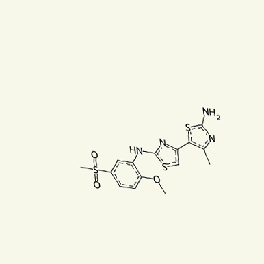 COc1ccc(S(C)(=O)=O)cc1Nc1nc(-c2sc(N)nc2C)cs1